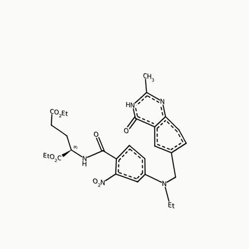 CCOC(=O)CC[C@@H](NC(=O)c1ccc(N(CC)Cc2ccc3nc(C)[nH]c(=O)c3c2)cc1[N+](=O)[O-])C(=O)OCC